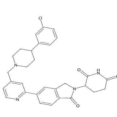 O=C1CCC(N2Cc3cc(-c4cc(CN5CCC(c6cccc(Cl)c6)CC5)ccn4)ccc3C2=O)C(=O)N1